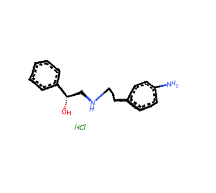 Cl.Nc1ccc(CCNC[C@H](O)c2ccccc2)cc1